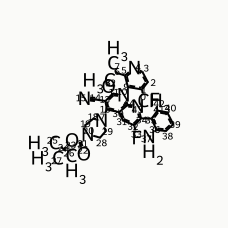 Cc1ccnc(C(C)C)c1-n1c(=O)c(C#N)c(N2CCN(C(=O)OC(C)(C)C)CC2)c2cc(F)c(-c3c(N)cccc3F)nc21